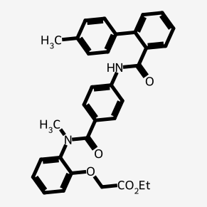 CCOC(=O)COc1ccccc1N(C)C(=O)c1ccc(NC(=O)c2ccccc2-c2ccc(C)cc2)cc1